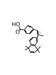 C/C(=C/c1ccc(C(=O)O)cc1)c1ccc2c(c1)C(C)(C)C=CC2(C)C